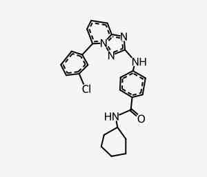 O=C(NC1CCCCC1)c1ccc(Nc2nc3cccc(-c4cccc(Cl)c4)n3n2)cc1